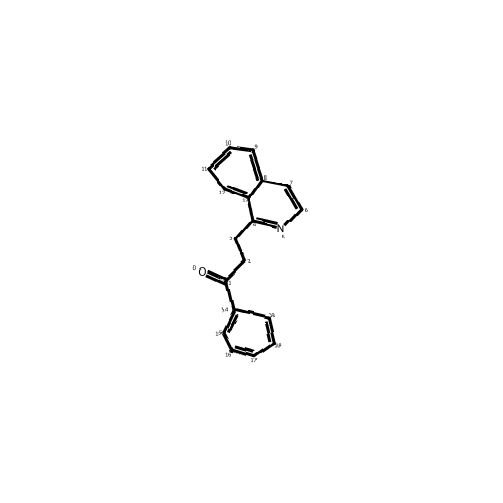 O=C(CCc1nccc2ccccc12)c1ccccc1